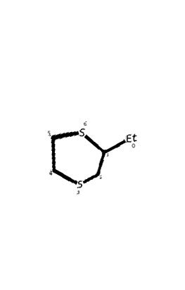 [CH2]CC1CSCCS1